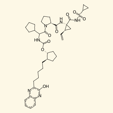 C=C[C@@H]1C[C@]1(NC(=O)[C@@H]1CCCN1C(=O)C(NC(=O)O[C@@H]1CCC[C@H]1CCCCCc1nc2ccccc2nc1O)C1CCCC1)C(=O)NS(=O)(=O)C1CC1